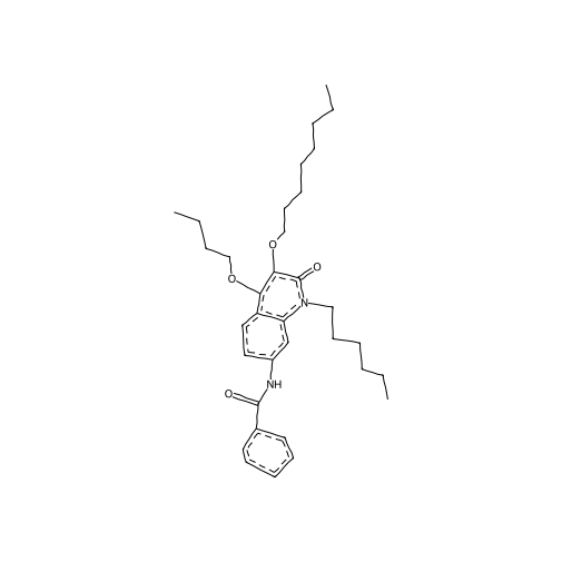 CCCCCCCCOc1c(OCCCC)c2ccc(NC(=O)c3ccccc3)cc2n(CCCCCC)c1=O